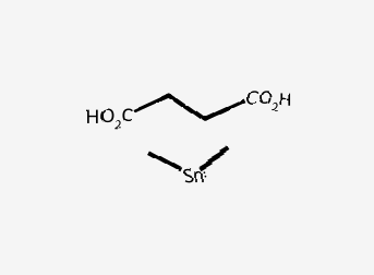 O=C(O)CCC(=O)O.[CH3][Sn][CH3]